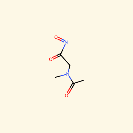 CC(=O)N(C)CC(=O)N=O